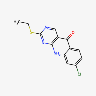 CCSc1ncc(C(=O)c2ccc(Cl)cc2)c(N)n1